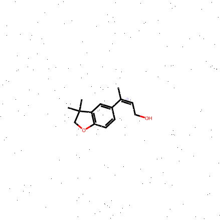 C/C(=C/CO)c1ccc2c(c1)C(C)(C)CO2